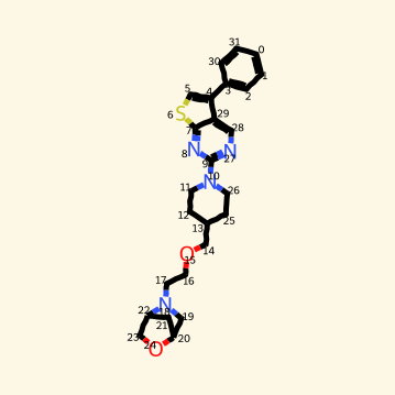 c1ccc(-c2csc3nc(N4CCC(COCCN5CC6CC5CO6)CC4)ncc23)cc1